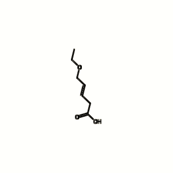 CCOC/C=C/CC(=O)O